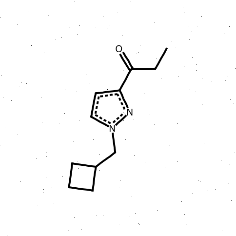 CCC(=O)c1ccn(CC2CCC2)n1